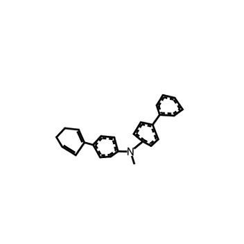 CN(c1ccc(C2=CCCC=C2)cc1)c1ccc(-c2ccccc2)cc1